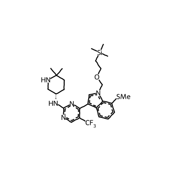 CSc1cccc2c(-c3nc(N[C@H]4CCC(C)(C)NC4)ncc3C(F)(F)F)cn(COCC[Si](C)(C)C)c12